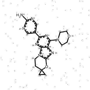 Nc1ncc(-c2nc(N3CCOCC3)c3nc4n(c3n2)CCC2(CC2)O4)cn1